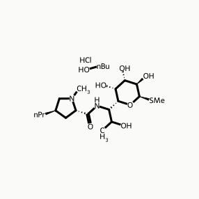 CCCCO.CCC[C@@H]1C[C@@H](C(=O)NC(C(C)O)[C@H]2O[C@H](SC)[C@H](O)[C@@H](O)[C@H]2O)N(C)C1.Cl